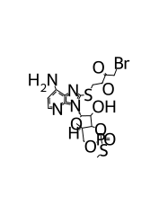 CSP1(=O)OC[C@H]2O[C@@H](n3c(SCC(=O)C(=O)CBr)nc4c(N)ccnc43)C(O)C2O1